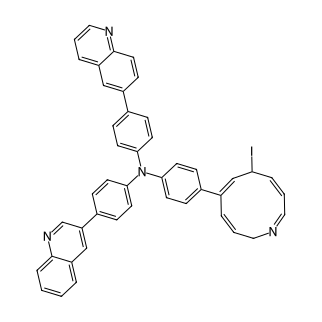 IC1/C=C\C=N/C/C=C\C(c2ccc(N(c3ccc(-c4ccc5ncccc5c4)cc3)c3ccc(-c4cnc5ccccc5c4)cc3)cc2)=C/1